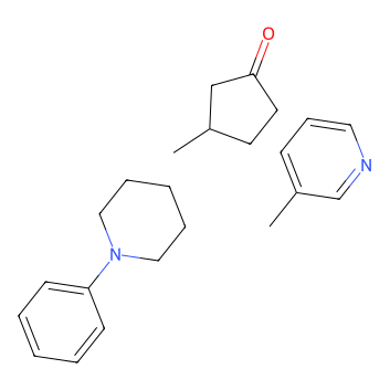 CC1CCC(=O)C1.Cc1cccnc1.c1ccc(N2CCCCC2)cc1